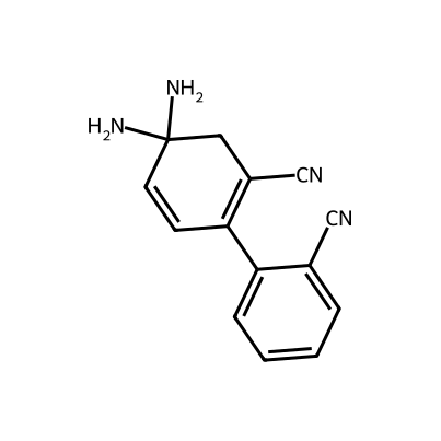 N#CC1=C(c2ccccc2C#N)C=CC(N)(N)C1